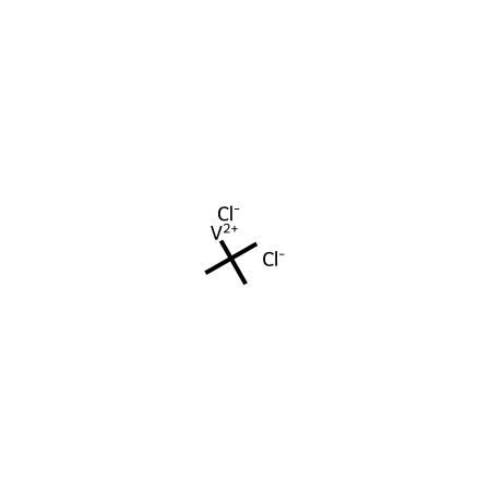 C[C](C)(C)[V+2].[Cl-].[Cl-]